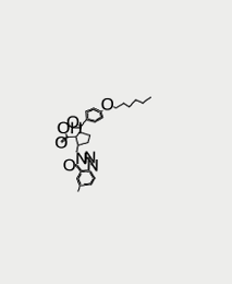 CCCCCCOc1ccc(C(=O)C2CCC(Cn3nnc4ccc(C)cc4c3=O)C2C(=O)O)cc1